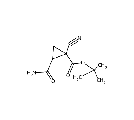 CC(C)(C)OC(=O)C1(C#N)CC1C(N)=O